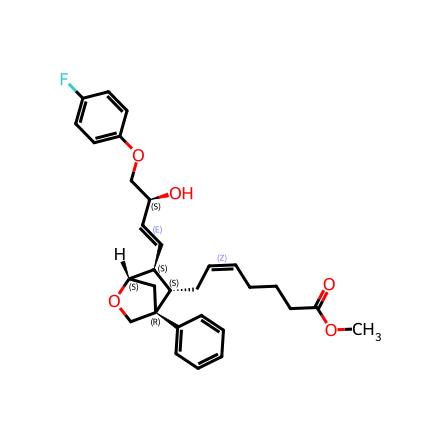 COC(=O)CCC/C=C\C[C@H]1[C@H](/C=C/[C@H](O)COc2ccc(F)cc2)[C@@H]2C[C@@]1(c1ccccc1)CO2